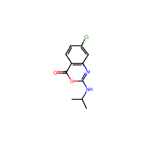 CC(C)Nc1nc2cc(Cl)ccc2c(=O)o1